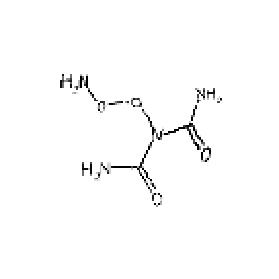 NOON(C(N)=O)C(N)=O